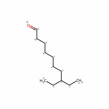 CCC(CC)CCCCCCC=O